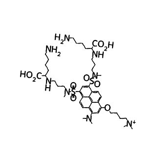 CN(C)c1cc(OCCCC[N+](C)(C)C)c2ccc3c(S(=O)(=O)N(C)CCCNC(CCCCN)C(=O)O)cc(S(=O)(=O)N(C)CCCNC(CCCCN)C(=O)O)c4ccc1c2c34